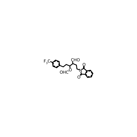 O=COC(CCc1ccc(C(F)(F)F)cc1)C(C=O)CCN1C(=O)c2ccccc2C1=O